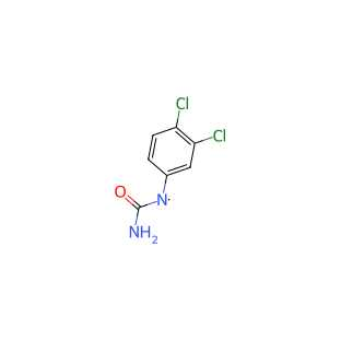 NC(=O)[N]c1ccc(Cl)c(Cl)c1